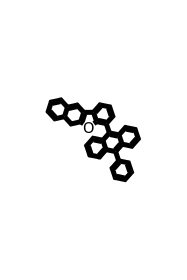 C1=CC2=Cc3c(oc4c(-c5c6ccccc6c(-c6ccccc6)c6ccccc56)cccc34)CC2C=C1